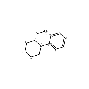 CC#N.c1ccc(N2CCOCC2)cc1